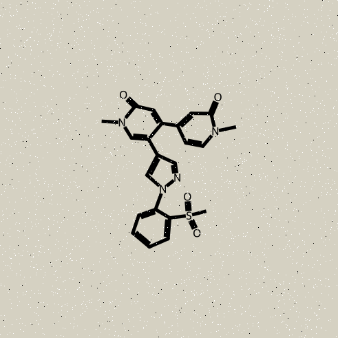 Cn1ccc(-c2cc(=O)n(C)cc2-c2cnn(-c3ccccc3S(C)(=O)=O)c2)cc1=O